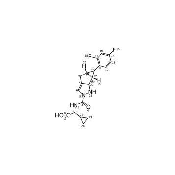 O=C(O)C(NC(=O)N1C=C2C[C@@H]3C(c4ccc(F)cc4F)[C@@H]3C2N1)C1CC1